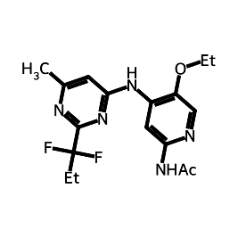 CCOc1cnc(NC(C)=O)cc1Nc1cc(C)nc(C(F)(F)CC)n1